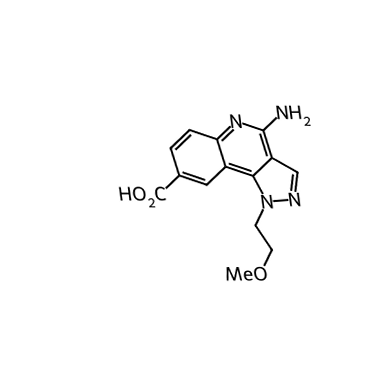 COCCn1ncc2c(N)nc3ccc(C(=O)O)cc3c21